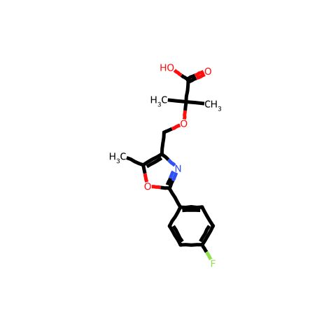 Cc1oc(-c2ccc(F)cc2)nc1COC(C)(C)C(=O)O